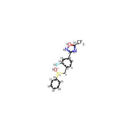 [O-][S+](Cc1ccc(-c2noc(C(F)(F)F)n2)cc1F)c1ccccc1